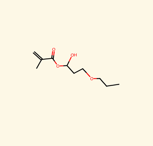 C=C(C)C(=O)OC(O)CCOCCC